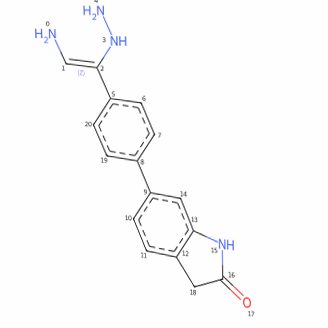 N/C=C(\NN)c1ccc(-c2ccc3c(c2)NC(=O)C3)cc1